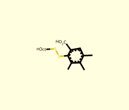 CCCCCCCCSSc1c(C(=O)O)cc(C)c(C)c1C